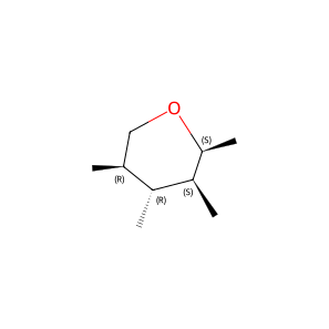 C[C@H]1[C@H](C)[C@@H](C)CO[C@H]1C